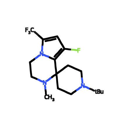 CN1CCn2c(C(F)(F)F)cc(F)c2C12CCN(C(C)(C)C)CC2